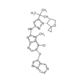 Cn1c(Nc2cc(C(C)(C)C)n([C@@H]3CCOC34CC4)n2)nc2ncc(Oc3cnn4ccncc34)c(Cl)c21